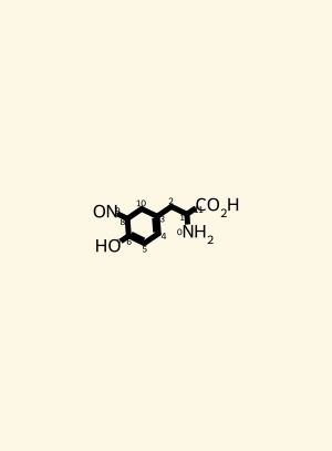 NC(CC1=CC=C(O)C(N=O)C1)C(=O)O